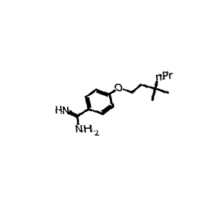 CCCC(C)(C)CCOc1ccc(C(=N)N)cc1